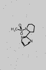 CS(=O)(=O)N1CCCCC1c1ncccn1